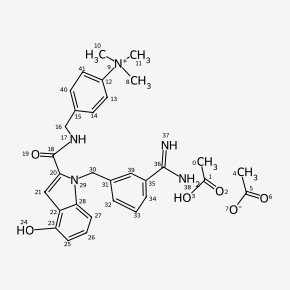 CC(=O)O.CC(=O)[O-].C[N+](C)(C)c1ccc(CNC(=O)c2cc3c(O)cccc3n2Cc2cccc(C(=N)N)c2)cc1